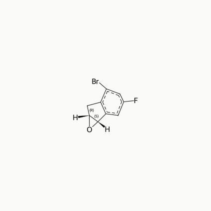 Fc1cc(Br)c2c(c1)[C@@H]1O[C@@H]1C2